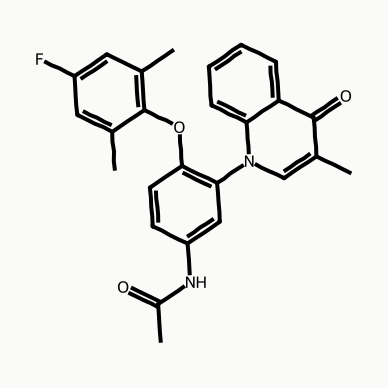 CC(=O)Nc1ccc(Oc2c(C)cc(F)cc2C)c(-n2cc(C)c(=O)c3ccccc32)c1